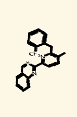 Cc1ccc(-c2ncc3ccccc3n2)nc1Cc1ccccc1C(F)(F)F